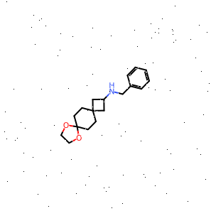 c1ccc(CNC2CC3(CCC4(CC3)OCCO4)C2)cc1